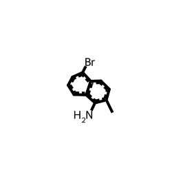 Cc1ccc2c(Br)cccc2c1N